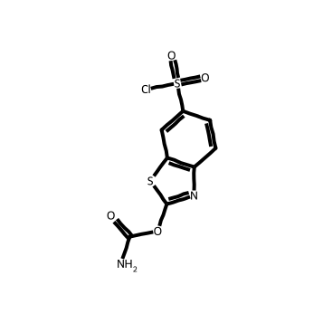 NC(=O)Oc1nc2ccc(S(=O)(=O)Cl)cc2s1